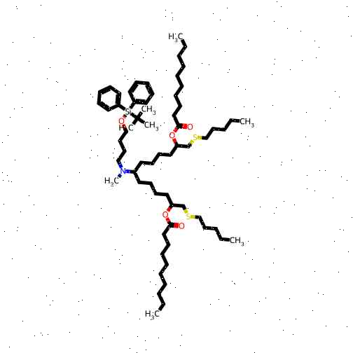 CCCCCCCCCC(=O)OC(CCCCC(CCCCC(CSCCCCC)OC(=O)CCCCCCCCC)N(C)CCCCO[Si](c1ccccc1)(c1ccccc1)C(C)(C)C)CSCCCCC